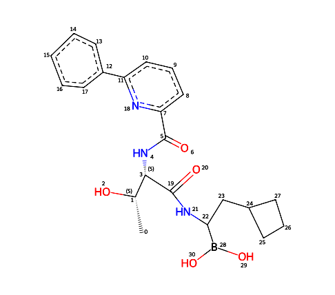 C[C@H](O)[C@H](NC(=O)c1cccc(-c2ccccc2)n1)C(=O)NC(CC1CCC1)B(O)O